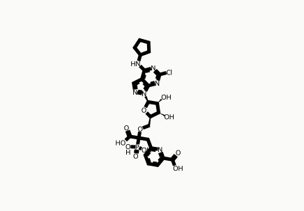 O=C(O)c1cccc(CC(OC[C@H]2O[C@@H](n3ncc4c(NC5CCCC5)nc(Cl)nc43)[C@H](O)[C@@H]2O)(C(=O)O)P(=O)(O)O)n1